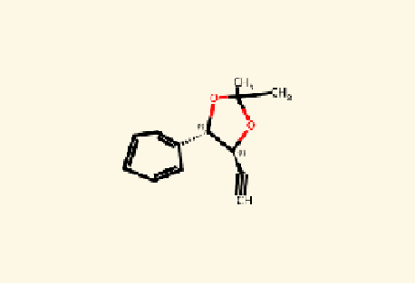 C#C[C@@H]1OC(C)(C)O[C@H]1c1ccccc1